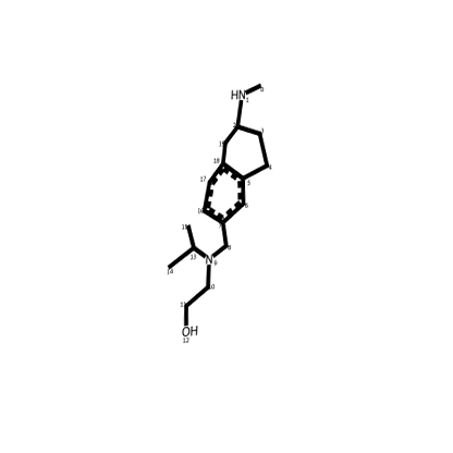 CNC1CCc2cc(CN(CCO)C(C)C)ccc2C1